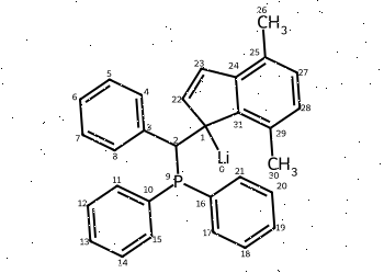 [Li][C]1(C(c2ccccc2)P(c2ccccc2)c2ccccc2)C=Cc2c(C)ccc(C)c21